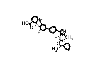 C[C@@H](OC(=O)Nc1c(-c2ccc(-c3cc(F)c(Oc4ncccc4C(=O)O)c(F)c3)cc2)cnn1C)c1ccccc1